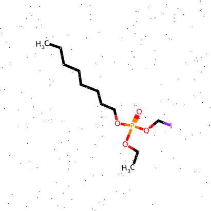 CCCCCCCCOP(=O)(OCC)OCI